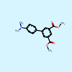 COC(=O)c1cc(C(=O)OC)cc(-c2ccc(N(C)C)cc2)c1